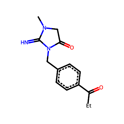 CCC(=O)c1ccc(CN2C(=N)N(C)CC2=O)cc1